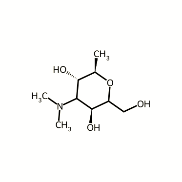 C[C@H]1OC(CO)[C@@H](O)C(N(C)C)[C@@H]1O